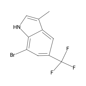 Cc1c[nH]c2c(Br)cc(C(F)(F)F)cc12